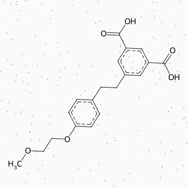 COCCOc1ccc(CCc2cc(C(=O)O)cc(C(=O)O)c2)cc1